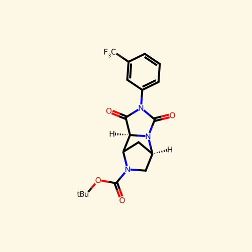 CC(C)(C)OC(=O)N1C[C@H]2CC1[C@H]1C(=O)N(c3cccc(C(F)(F)F)c3)C(=O)N21